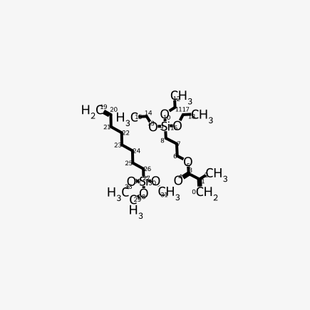 C=C(C)C(=O)OCCC[Si](OCC)(OCC)OCC.C=CCCCCCC[Si](OC)(OC)OC